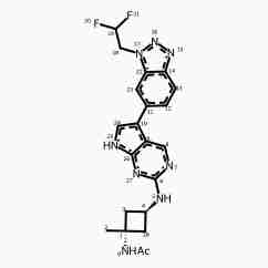 CC(=O)N[C@]1(C)C[C@@H](Nc2ncc3c(-c4ccc5nnn(CC(F)F)c5c4)c[nH]c3n2)C1